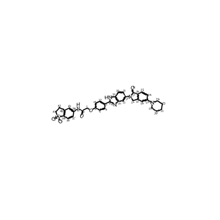 O=C(COc1ccc(-c2nc3cc(N4Cc5cc(N6CCCCC6)ccc5C4=O)ccc3[nH]2)cc1)Nc1ccc2c(c1)CCS2(=O)=O